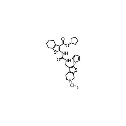 CN1CCc2c(sc(-n3cccc3)c2CNC(=O)Nc2sc3c(c2C(=O)OC2CCCC2)CCCC3)C1